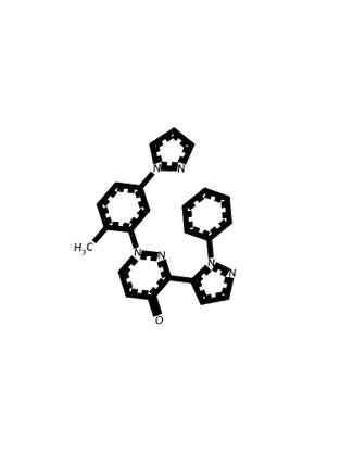 Cc1ccc(-n2cccn2)cc1-n1ccc(=O)c(-c2ccnn2-c2ccccc2)n1